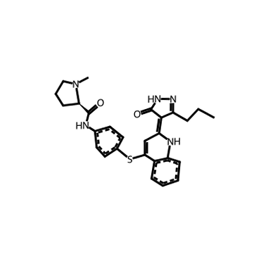 CCCC1=NNC(=O)C1=C1C=C(Sc2ccc(NC(=O)[C@H]3CCCN3C)cc2)c2ccccc2N1